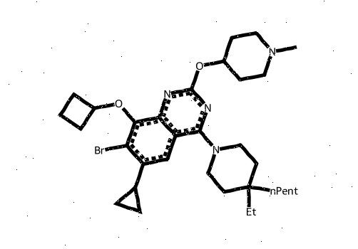 CCCCCC1(CC)CCN(c2nc(OC3CCN(C)CC3)nc3c(OC4CCC4)c(Br)c(C4CC4)cc23)CC1